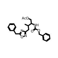 CC(=O)OCC(NC(=O)OCc1ccccc1)C(C)Cc1noc(Cc2ccccc2)n1